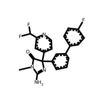 CN1C(=O)C(c2cccc(-c3ccc(F)cc3)c2)(c2ccnc(C(F)F)c2)N=C1N